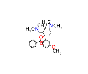 COc1cccc(C2(OC(=O)c3ccccc3)CCC(N(C)C)CC2CN(C)C)c1